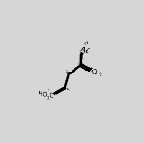 CC(=O)C(=O)CCC(=O)O